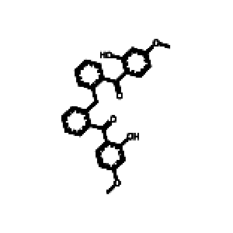 COc1ccc(C(=O)c2ccccc2Cc2ccccc2C(=O)c2ccc(OC)cc2O)c(O)c1